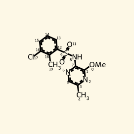 COc1nc(C)cnc1NS(=O)(=O)c1cccc(Cl)c1C